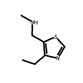 CCc1ncsc1CNC